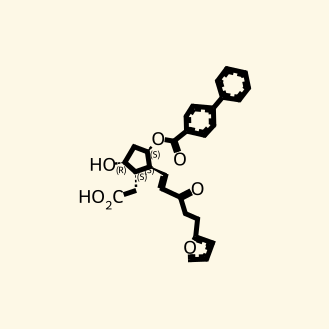 O=C(O)C[C@H]1[C@H](C=CC(=O)CCc2ccco2)[C@@H](OC(=O)c2ccc(-c3ccccc3)cc2)C[C@H]1O